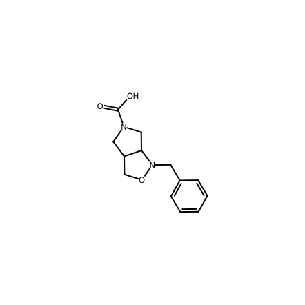 O=C(O)N1CC2CON(Cc3ccccc3)C2C1